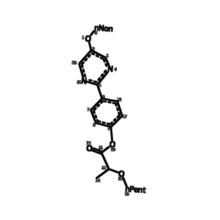 CCCCCCCCCOc1cnc(-c2ccc(OC(=O)C(C)OCCCCC)cc2)nc1